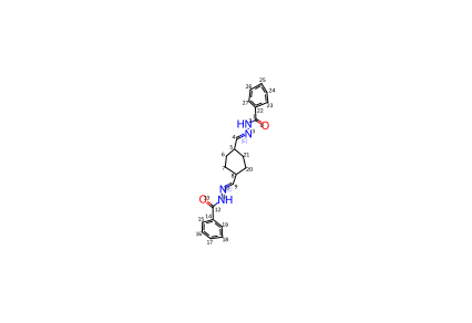 O=C(N/N=C/C1CCC(/C=N/NC(=O)c2ccccc2)CC1)c1ccccc1